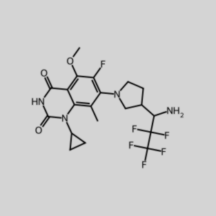 COc1c(F)c(N2CCC(C(N)C(F)(F)C(F)(F)F)C2)c(C)c2c1c(=O)[nH]c(=O)n2C1CC1